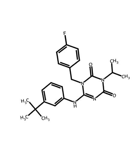 CC(C)n1c(=O)nc(Nc2cccc(C(C)(C)C)c2)n(Cc2ccc(F)cc2)c1=O